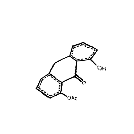 CC(=O)Oc1cccc2c1C(=O)c1c(O)cccc1C2